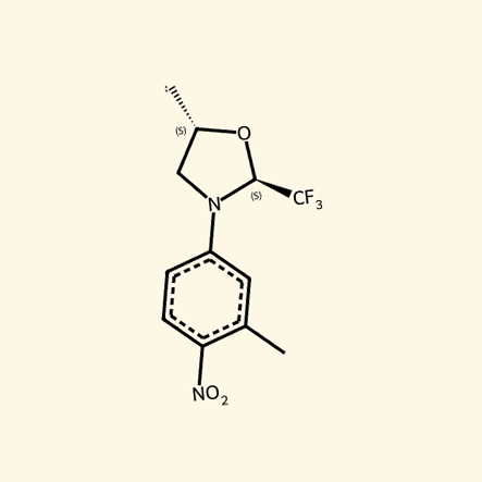 [CH][C@H]1CN(c2ccc([N+](=O)[O-])c(C)c2)[C@H](C(F)(F)F)O1